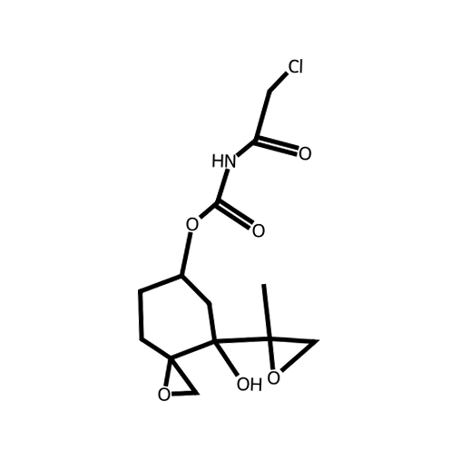 CC1(C2(O)CC(OC(=O)NC(=O)CCl)CCC23CO3)CO1